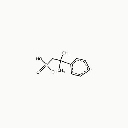 CC(C)(CP(=O)(O)O)c1cc[c]cc1